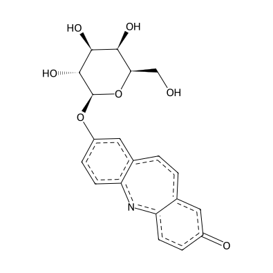 O=c1ccc2nc3ccc(O[C@@H]4O[C@H](CO)[C@H](O)[C@H](O)[C@H]4O)cc3ccc-2c1